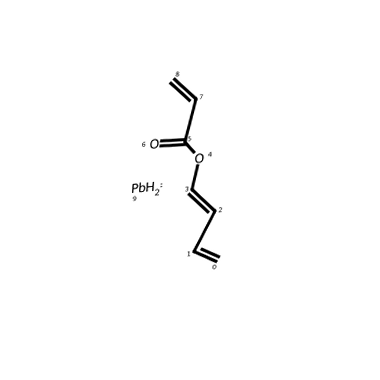 C=CC=COC(=O)C=C.[PbH2]